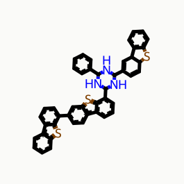 C1=CC2Sc3ccccc3C2C=C1C1NC(c2ccccc2)NC(c2cccc3c2sc2cc(-c4cccc5c4sc4ccccc45)ccc23)N1